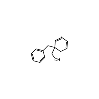 OCC1(Cc2ccccc2)C=[C]C=CC1